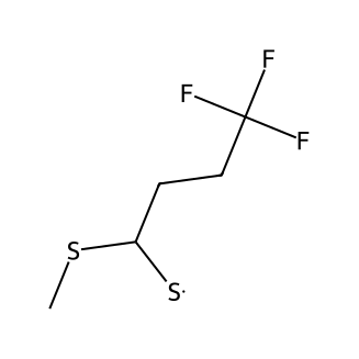 CSC([S])CCC(F)(F)F